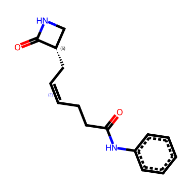 O=C(CC/C=C\C[C@H]1CNC1=O)Nc1ccccc1